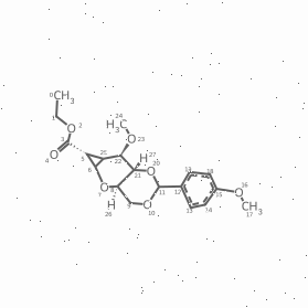 CCOC(=O)[C@H]1C2O[C@@H]3COC(c4ccc(OC)cc4)O[C@H]3[C@H](OC)C21